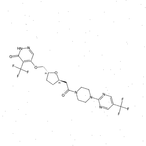 O=C(C[C@H]1CC[C@H](COc2cn[nH]c(=O)c2C(F)(F)F)O1)N1CCN(c2ncc(C(F)(F)F)cn2)CC1